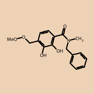 COOCc1ccc(C(=O)N(C)Cc2ccccc2)c(O)c1O